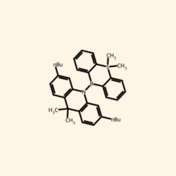 CCCCc1ccc2c(c1)N(B1c3ccccc3S(C)(C)c3ccccc31)c1cc(CCCC)ccc1C2(C)C